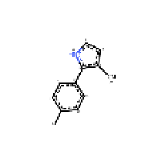 Cc1ccc(-c2[nH]ccc2C#N)cc1